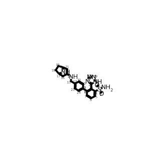 NS(=O)(=O)c1cccc(-c2ccc(CNC3CC4CCC(C3)N4)cc2)c1-c1nnn[nH]1